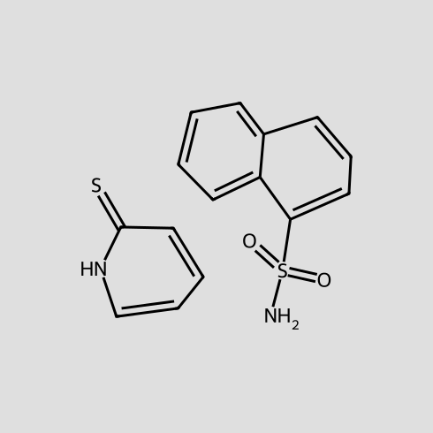 NS(=O)(=O)c1cccc2ccccc12.S=c1cccc[nH]1